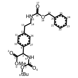 COC(=O)C(NC(=O)OC(C)(C)C)c1ccc(CCNC(=O)OCc2ccccc2)cc1